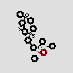 O=P(c1ccccc1)(c1ccccc1)c1ccc2sc3ccc(P(=O)(c4ccccc4)c4cccc(-c5ccc(P(c6ccccc6)c6ccccc6Oc6ccccc6P(c6ccccc6)c6ccccc6)cc5)c4)cc3c2c1